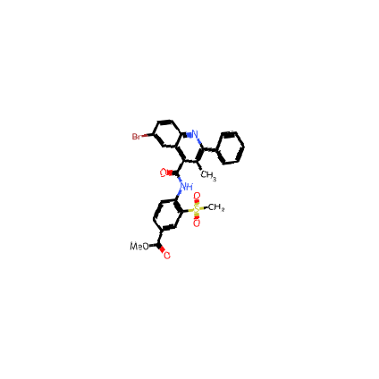 COC(=O)c1ccc(NC(=O)c2c(C)c(-c3ccccc3)nc3ccc(Br)cc23)c(S(C)(=O)=O)c1